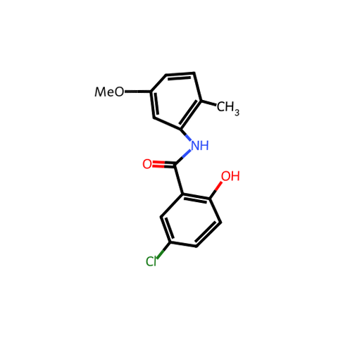 COc1ccc(C)c(NC(=O)c2cc(Cl)ccc2O)c1